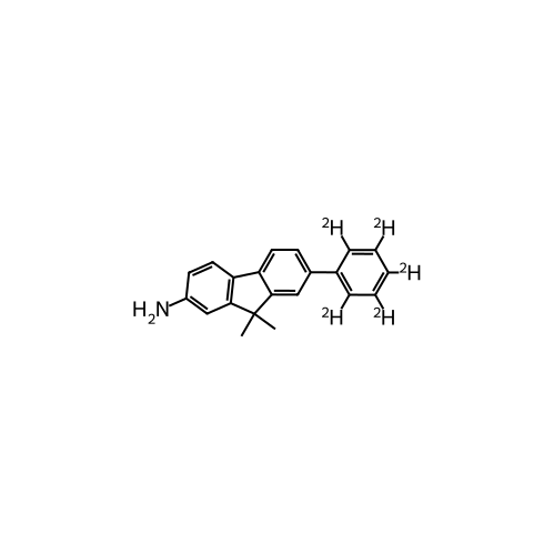 [2H]c1c([2H])c([2H])c(-c2ccc3c(c2)C(C)(C)c2cc(N)ccc2-3)c([2H])c1[2H]